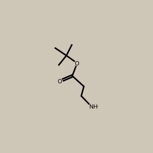 CC(C)(C)OC(=O)CC[NH]